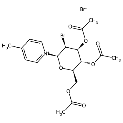 CC(=O)OC[C@H]1O[C@@H]([n+]2ccc(C)cc2)[C@@H](Br)[C@@H](OC(C)=O)[C@@H]1OC(C)=O.[Br-]